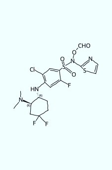 CN(C)[C@@H]1CC(F)(F)CC[C@H]1Nc1cc(F)c(S(=O)(=O)N(OC=O)c2nccs2)cc1Cl